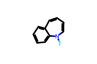 FN1C=CC=Cc2ccccc21